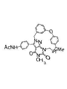 COc1ccc(Oc2cccc(Cn3nc4c(c3-c3ccc(NC(C)=O)cc3)c(=O)n(C)c(=O)n4CC(C)C)c2)cc1